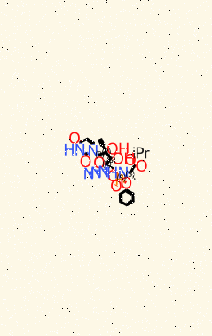 C#C[C@]1(O)[C@H](n2ccc(=O)[nH]c2=O)O[C@@](CO[P@@](=O)(N[C@@H](C)C(=O)OC(C)C)Oc2ccccc2)(N=[N+]=[N-])[C@H]1O